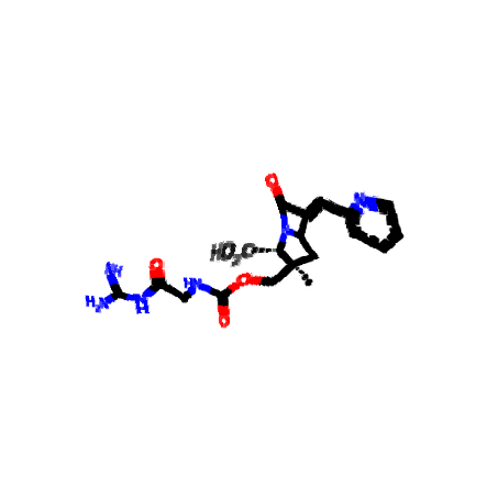 C[C@@]1(COC(=O)NCC(=O)NC(=N)N)CC2/C(=C\c3ccccn3)C(=O)N2[C@H]1C(=O)O